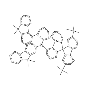 CC(C)(C)c1ccc2c(c1)C1(c3cc(C(C)(C)C)ccc3-2)c2ccccc2-c2c(N(c3ccc4c(c3)C(C)(C)c3ccccc3-4)c3ccccc3-c3cccc4c3-c3ccccc3C4(C)C)cccc21